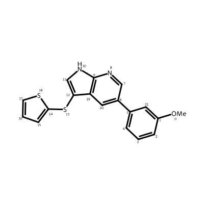 COc1cccc(-c2cnc3[nH]cc(Sc4cccs4)c3c2)c1